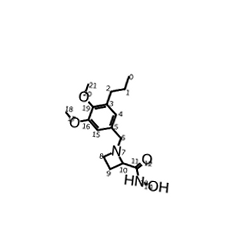 CCCc1cc(CN2CCC2C(=O)NO)cc(OC)c1OC